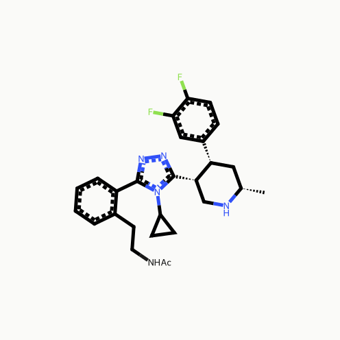 CC(=O)NCCc1ccccc1-c1nnc([C@H]2CN[C@@H](C)C[C@H]2c2ccc(F)c(F)c2)n1C1CC1